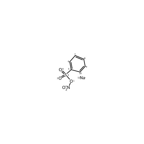 O=[N+]([O-])OS(=O)(=O)c1ccccc1.[Na]